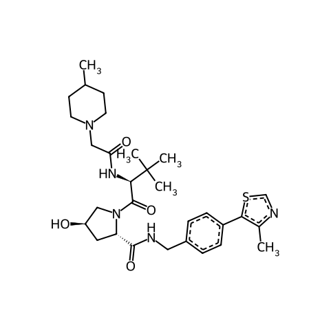 Cc1ncsc1-c1ccc(CNC(=O)[C@@H]2C[C@@H](O)CN2C(=O)[C@@H](NC(=O)CN2CCC(C)CC2)C(C)(C)C)cc1